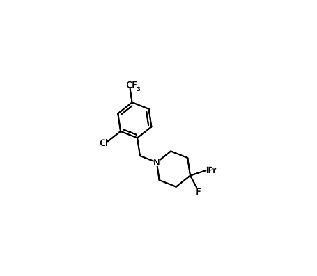 CC(C)C1(F)CCN(Cc2ccc(C(F)(F)F)cc2Cl)CC1